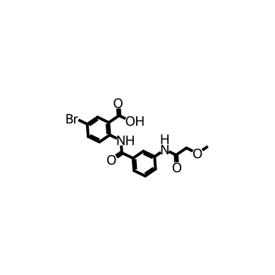 COCC(=O)Nc1cccc(C(=O)Nc2ccc(Br)cc2C(=O)O)c1